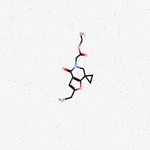 CCOC(=O)CN1CC2(CC2)c2oc(CC)cc2C1=O